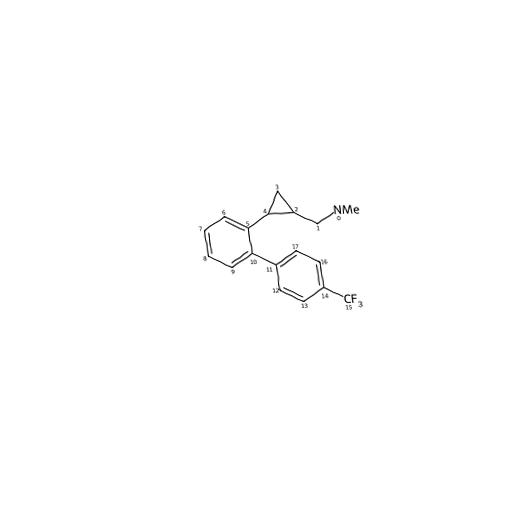 CNCC1CC1c1ccccc1-c1ccc(C(F)(F)F)cc1